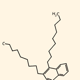 CCCCCCCCCc1ccc2ccccc2c1CCCCCCCCC